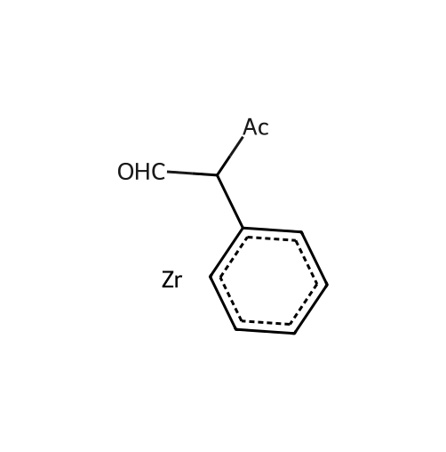 CC(=O)C(C=O)c1ccccc1.[Zr]